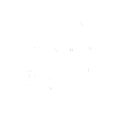 CCc1nc2c(c(CC)c(CC)n2CCC#N)c(-c2ccc(Cl)cc2)c1C(OC(C)(C)C)C(=O)O